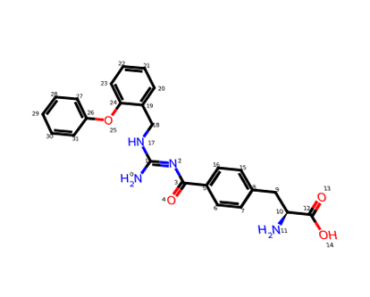 N/C(=N\C(=O)c1ccc(C[C@H](N)C(=O)O)cc1)NCc1ccccc1Oc1ccccc1